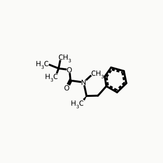 C[C@H](Cc1ccccc1)N(C)C(=O)OC(C)(C)C